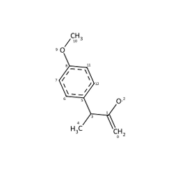 C=C([O])C(C)c1ccc(OC)cc1